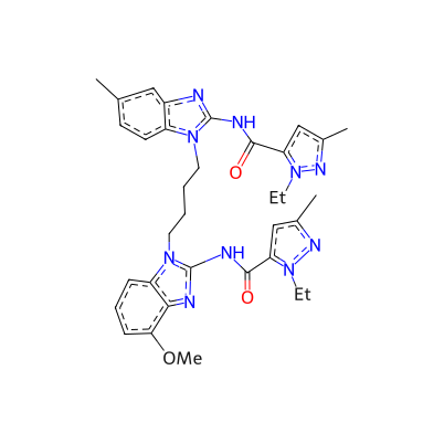 CCn1nc(C)cc1C(=O)Nc1nc2cc(C)ccc2n1CCCCn1c(NC(=O)c2cc(C)nn2CC)nc2c(OC)cccc21